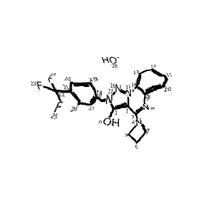 Oc1c2c(N3CCC3)nc3ccccc3[n+]2nn1-c1ccc(C(F)(F)F)cc1.[OH-]